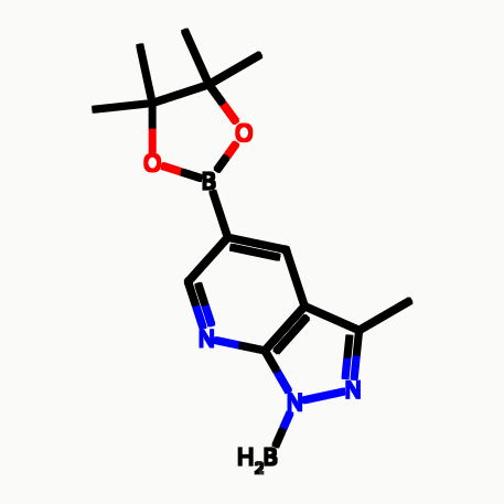 Bn1nc(C)c2cc(B3OC(C)(C)C(C)(C)O3)cnc21